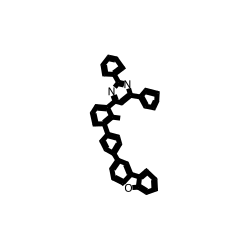 Cc1c(-c2ccc(-c3ccc4oc5ccccc5c4c3)cc2)cccc1-c1cc(-c2ccccc2)nc(-c2ccccc2)n1